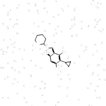 Clc1cc2nn(C3CCCCO3)cc2c(Br)c1C1CC1